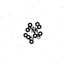 c1ccc2cc3c(cc2c1)c1ccccc1n3-c1cc(-c2nc(-c3cccc4ccccc34)nc(-n3c4ccccc4c4ccccc43)n2)c2c(c1)oc1ccccc12